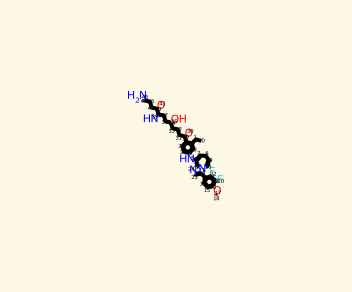 CCc1cc(NC2=CCC=Cn3c(-c4ccc(OC)c(F)c4F)cnc32)ccc1C(=O)CCCC(O)CCC(=N)C(=O)CCCN